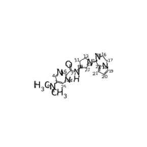 CN(C)c1cnc(C(=O)N[C@H]2CCN(c3nccn4cccc34)C2)nc1